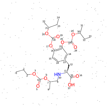 CCCOC(=O)OC(C)CN[C@@H](Cc1ccc(OC(=O)OC(C)CC)c(OC(=O)OC(C)CC)c1)C(=O)O